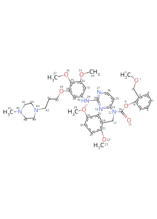 COCc1ccccc1OC(=O)N(Cc1cc(OC)ccc1OC)c1ccnc(Nc2cc(OC)c(OC)c(OCCCN3CCN(C)CC3)c2)n1